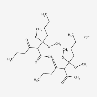 CCCC[Si](OC)(OC)C(C(C)=O)C(=O)CCC.CCCC[Si](OC)(OC)C(C(C)=O)C(=O)CCC.[Pt+2]